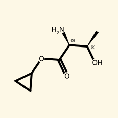 C[C@@H](O)[C@H](N)C(=O)OC1CC1